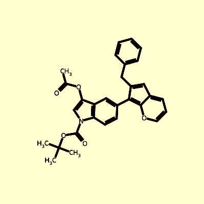 CC(=O)Oc1cn(C(=O)OC(C)(C)C)c2ccc(-c3c(Cc4ccccc4)cc4cccoc3-4)cc12